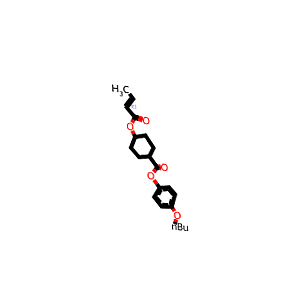 C/C=C/C(=O)OC1CCC(C(=O)Oc2ccc(OCCCC)cc2)CC1